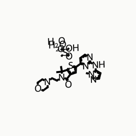 CS(=O)(=O)O.Cn1nccc1Nc1nccc(-c2cc3c(s2)C(C)(C)N(CCN2CCOCC2)C3=O)n1.O.O